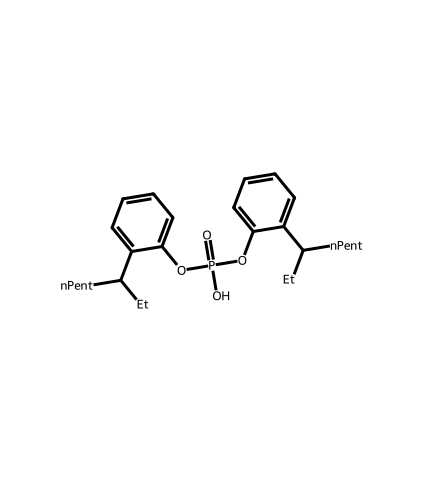 CCCCCC(CC)c1ccccc1OP(=O)(O)Oc1ccccc1C(CC)CCCCC